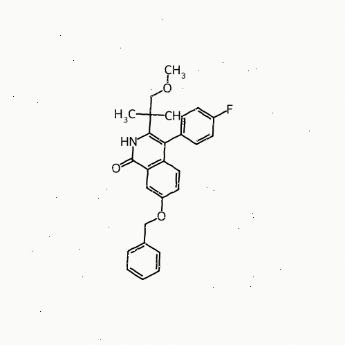 COCC(C)(C)c1[nH]c(=O)c2cc(OCc3ccccc3)ccc2c1-c1ccc(F)cc1